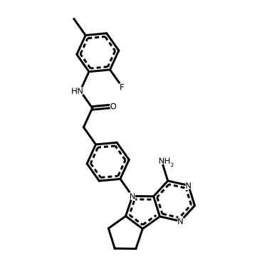 Cc1ccc(F)c(NC(=O)Cc2ccc(-n3c4c(c5ncnc(N)c53)CCC4)cc2)c1